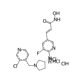 Cl.Cl.Cl.O=C(/C=C/c1cnc(N[C@@H]2CCN(Cc3ccncc3Cl)C2)c(F)c1)NO